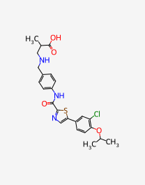 CC(C)Oc1ccc(-c2cnc(C(=O)Nc3ccc(CNCC(C)C(=O)O)cc3)s2)cc1Cl